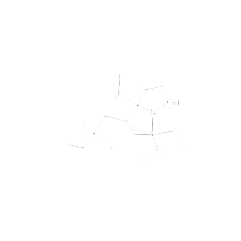 CCC(C)(C)CC1=CC(CC)(CC)N(O)C1(CC)CC